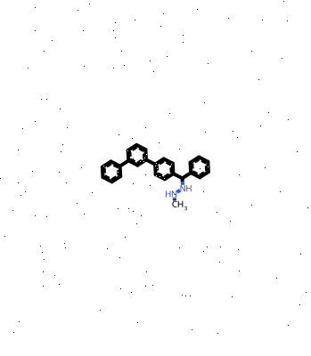 CNNC(c1ccccc1)c1ccc(-c2cccc(-c3ccccc3)c2)cc1